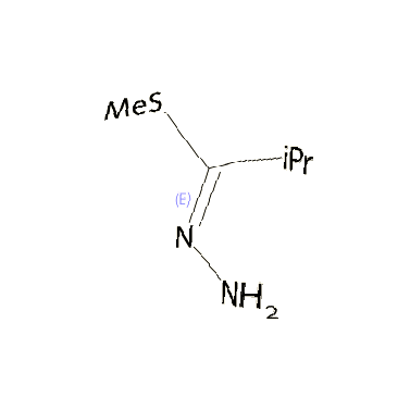 CS/C(=N/N)C(C)C